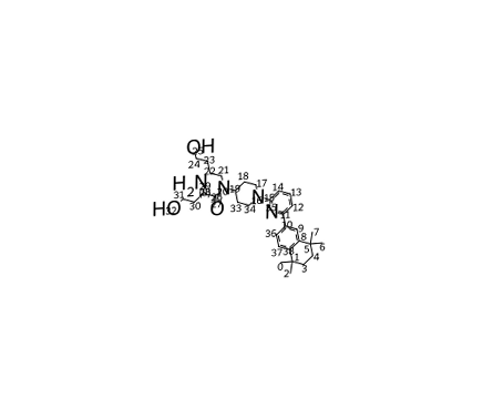 CC1(C)CCC(C)(C)c2cc(-c3cccc(N4CCC(N(CCCCO)C(=O)[C@@H](N)CCO)CC4)n3)ccc21